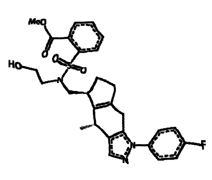 COC(=O)c1ccccc1S(=O)(=O)N(CCO)C[C@H]1CCC2=C1[C@@H](C)c1cnn(-c3ccc(F)cc3)c1C2